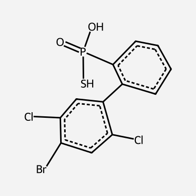 O=P(O)(S)c1ccccc1-c1cc(Cl)c(Br)cc1Cl